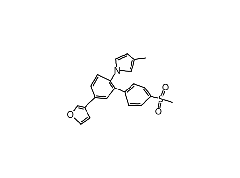 Cc1ccn(-c2ccc(-c3ccoc3)cc2-c2ccc(S(C)(=O)=O)cc2)c1